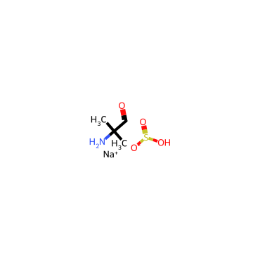 CC(C)(N)C=O.O=S([O-])O.[Na+]